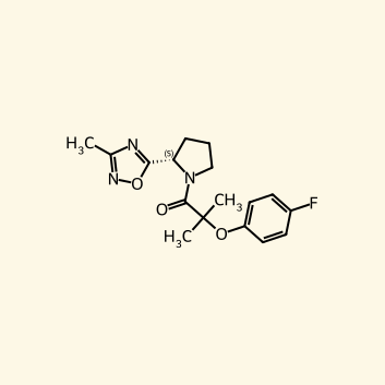 Cc1noc([C@@H]2CCCN2C(=O)C(C)(C)Oc2ccc(F)cc2)n1